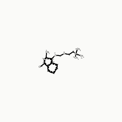 Cc1nc(Cl)c2ccccc2c1OCOCC[Si](C)(C)C